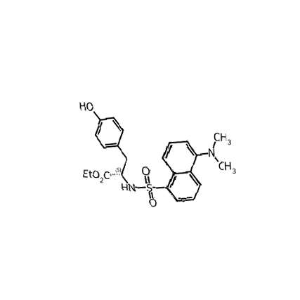 CCOC(=O)[C@H](Cc1ccc(O)cc1)NS(=O)(=O)c1cccc2c(N(C)C)cccc12